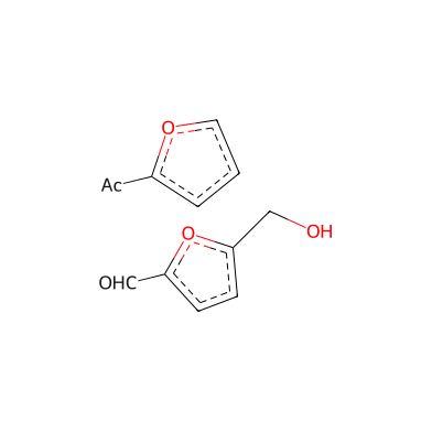 CC(=O)c1ccco1.O=Cc1ccc(CO)o1